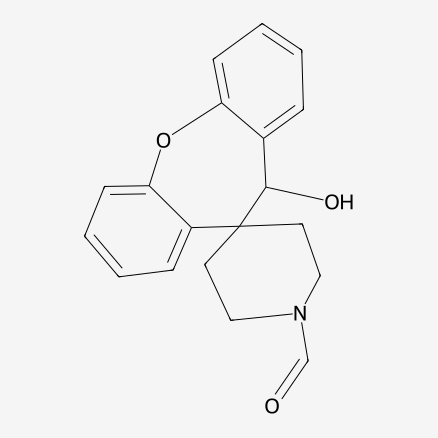 O=CN1CCC2(CC1)c1ccccc1Oc1ccccc1C2O